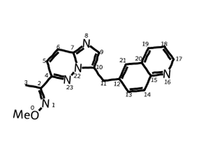 CON=C(C)c1ccc2ncc(Cc3ccc4ncccc4c3)n2n1